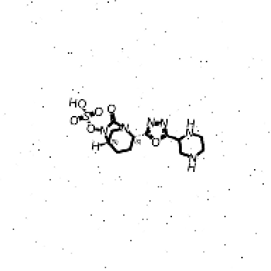 O=C1N2C[C@H](CC[C@H]2c2nnc(C3CNCCN3)o2)N1OS(=O)(=O)O